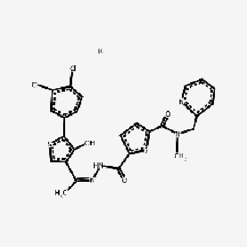 CC(=NNC(=O)c1ccc(C(=O)N(C)Cc2ccccn2)s1)c1csc(-c2ccc(Cl)c(Cl)c2)c1O.[K]